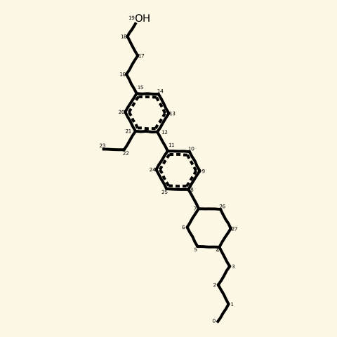 CCCCC1CCC(c2ccc(-c3ccc(CCCO)cc3CC)cc2)CC1